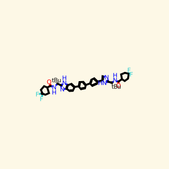 CC(C)(C)C(NC(=O)C1CCC(F)(F)CC1)c1nc2ccc(-c3ccc(-c4ccc(-c5cnc([C@@H](NC(=O)C6CCC(F)(F)CC6)C(C)(C)C)[nH]5)cc4)cc3)cc2[nH]1